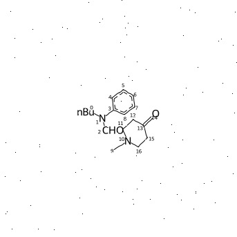 CCCCN(C=O)c1ccccc1.CN1CCC(=O)CC1